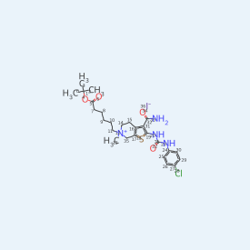 CC(C)(C)OC(=O)CCCCC[N+]1(C)CCc2c(sc(NC(=O)Nc3ccc(Cl)cc3)c2C(N)=O)C1.[I-]